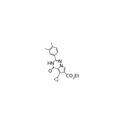 CCOC(=O)c1cn2nc(-c3ccc(C)c(C)c3)[nH]c(=O)c2c1C1CC1